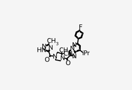 Cc1n[nH]c(C(=O)N2CCN(C(=O)c3cn4nc(-c5ccc(F)cc5)cc(C(C)C)c4n3)C(C)(C)C2)n1